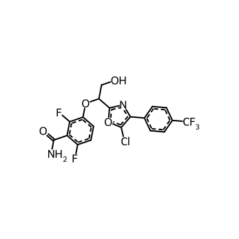 NC(=O)c1c(F)ccc(OC(CO)c2nc(-c3ccc(C(F)(F)F)cc3)c(Cl)o2)c1F